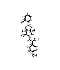 O=C1[C@H]2C[C@@H](c3cccnc3F)C[C@H]2CN1CC(O)c1ccc(O)cc1